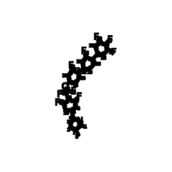 Cc1ccc(-c2cc(F)c(C(F)(F)Oc3ccc(-c4ccc(-c5cc(F)c(F)c(F)c5)c(F)c4)c(F)c3)c(F)c2)nc1